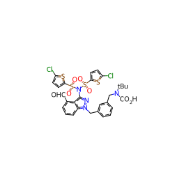 CC(C)(C)N(Cc1cccc(Cn2nc(N(S(=O)(=O)c3ccc(Cl)s3)S(=O)(=O)c3ccc(Cl)s3)c3c(C=O)cccc32)c1)C(=O)O